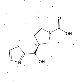 O=C(O)N1CC[C@H](C(O)c2nccs2)C1